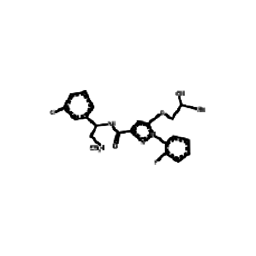 CC(C)(C)C(O)COc1cc(C(=O)NC(CC(=O)O)c2cccc(Cl)c2)nn1-c1ccccc1F